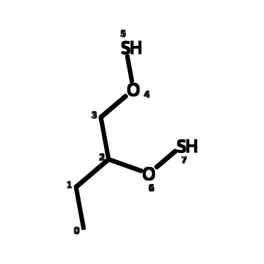 CCC(COS)OS